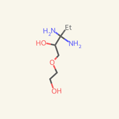 CCC(N)(N)C(O)COCCO